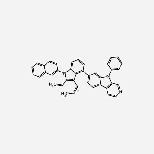 C=Cc1c(/C=C\C)c2c(-c3ccc4c5ccncc5n(-c5ccccc5)c4c3)cccc2n1-c1ccc2ccccc2c1